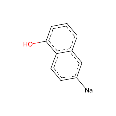 Oc1cccc2c[c]([Na])ccc12